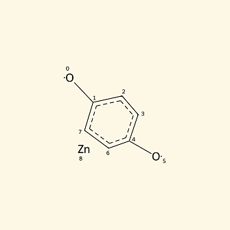 [O]c1ccc([O])cc1.[Zn]